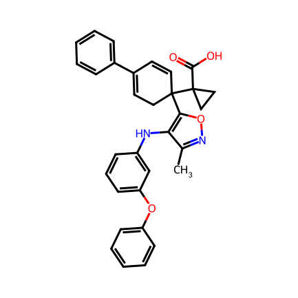 Cc1noc(C2(C3(C(=O)O)CC3)C=CC(c3ccccc3)=CC2)c1Nc1cccc(Oc2ccccc2)c1